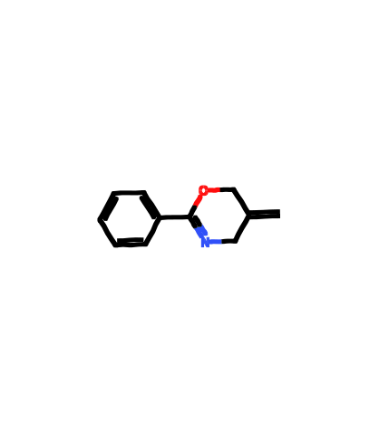 C=C1CN=C(c2ccccc2)OC1